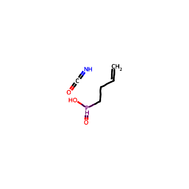 C=CCC[PH](=O)O.N=C=O